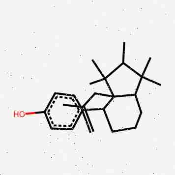 C=C(C)CC12C(c3ccc(O)cc3)CCCC1C(C)(C)C(C)C2(C)C